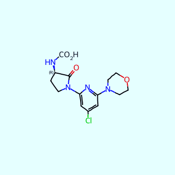 O=C(O)N[C@@H]1CCN(c2cc(Cl)cc(N3CCOCC3)n2)C1=O